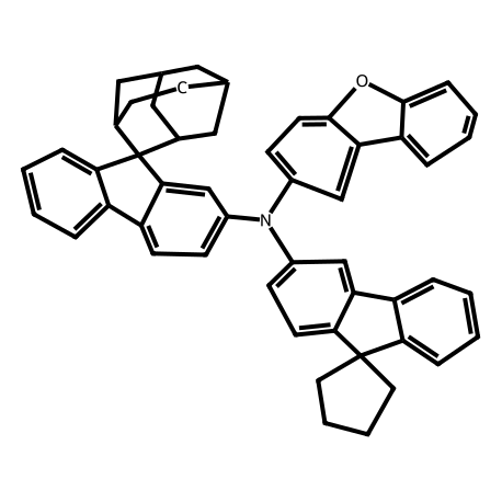 c1ccc2c(c1)-c1cc(N(c3ccc4c(c3)C3(c5ccccc5-4)C4CCC5CC(C4)CC3C5)c3ccc4oc5ccccc5c4c3)ccc1C21CCCC1